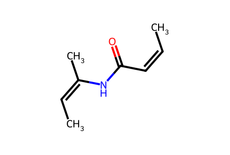 C/C=C\C(=O)N/C(C)=C\C